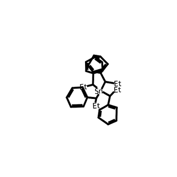 CC[CH](c1ccccc1)[Sn]([CH](CC)c1ccccc1)([CH](CC)c1ccccc1)[CH](CC)c1ccccc1